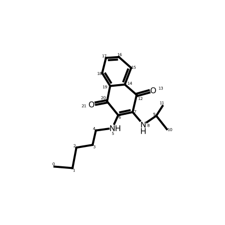 CCCCCNC1=C(NC(C)C)C(=O)c2ccccc2C1=O